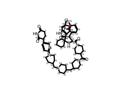 O=C1CCC(c2ccc(N3CCC(CN4CCC(CC5CCN(C(=O)C6CCN(C(=O)[C@@H]7NC8(CCCCC8)[C@@]8(C(=O)Nc9cc(Cl)ccc98)C7c7cccc(Cl)c7F)CC6)CC5)CC4)CC3)nc2)C(=O)N1